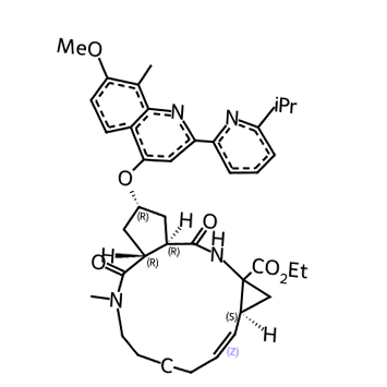 CCOC(=O)C12C[C@H]1/C=C\CCCCN(C)C(=O)[C@@H]1C[C@H](Oc3cc(-c4cccc(C(C)C)n4)nc4c(C)c(OC)ccc34)C[C@H]1C(=O)N2